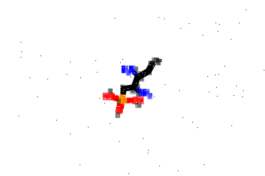 CC(C)C[C@@H](N)[C@@H](N)CP(=O)(O)O